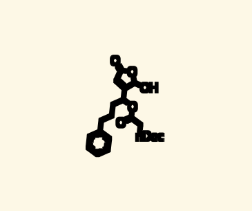 CCCCCCCCCCCC(=O)OC(CCCc1ccccc1)C1=CC(=O)OC1O